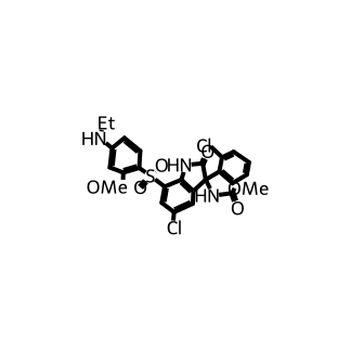 CCNc1ccc(S(=O)(=O)c2cc(Cl)cc3c2NC(=O)C3(NC(=O)OC)c2ccccc2Cl)c(OC)c1